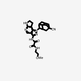 COCCNC(=O)C(=O)Nc1nn(C2C3CC4CC2CC(C#N)(C4)C3)c2c3c(ncc12)NCC3